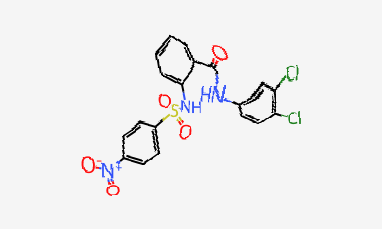 O=C(Nc1ccc(Cl)c(Cl)c1)c1ccccc1NS(=O)(=O)c1ccc([N+](=O)[O-])cc1